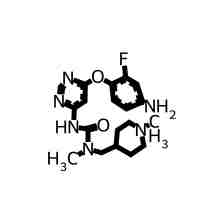 CN1CCC(CN(C)C(=O)Nc2cc(Oc3ccc(N)cc3F)ncn2)CC1